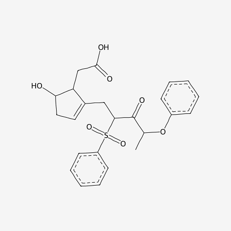 CC(Oc1ccccc1)C(=O)C(CC1=CCC(O)C1CC(=O)O)S(=O)(=O)c1ccccc1